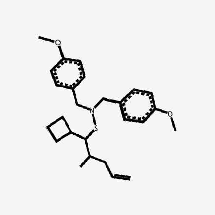 C=CCC(C)C(SN(Cc1ccc(OC)cc1)Cc1ccc(OC)cc1)C1CCC1